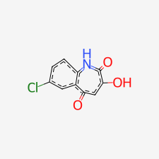 O=c1[nH]c2ccc(Cl)cc2c(=O)cc1O